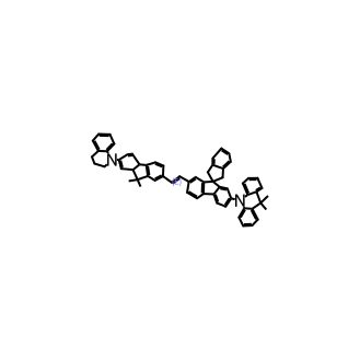 CC1(C)c2ccccc2N(c2ccc3c(c2)C2(Cc4ccccc4C2)c2cc(/C=C/c4ccc5c(c4)C(C)(C)C4C=C(N6CCCc7ccccc76)C=CC54)ccc2-3)c2ccccc21